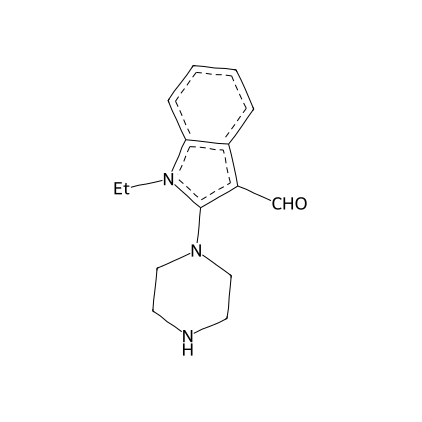 CCn1c(N2CCNCC2)c(C=O)c2ccccc21